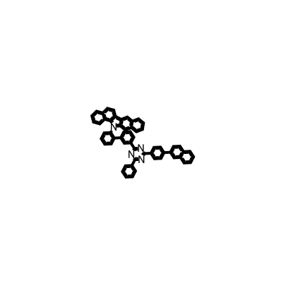 c1ccc(-c2nc(-c3ccc(-c4ccc5ccccc5c4)cc3)nc(-c3cccc(-c4ccccc4-n4c5cc6ccccc6cc5c5ccc6ccccc6c54)c3)n2)cc1